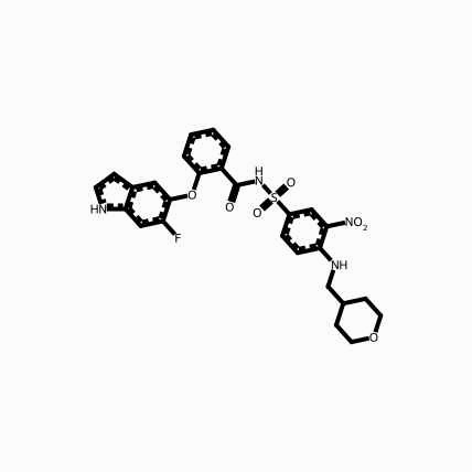 O=C(NS(=O)(=O)c1ccc(NCC2CCOCC2)c([N+](=O)[O-])c1)c1ccccc1Oc1cc2cc[nH]c2cc1F